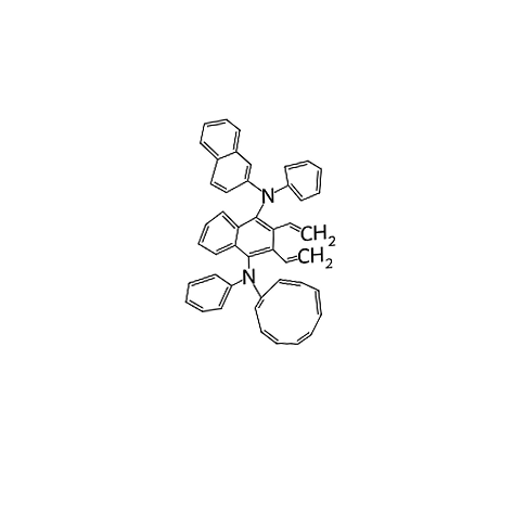 C=Cc1c(C=C)c(N(c2ccccc2)c2ccc3ccccc3c2)c2ccccc2c1N(c1ccccccccc1)c1ccccc1